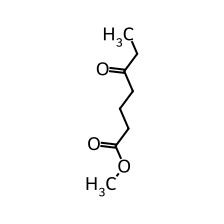 CCC(=O)CCCC(=O)OC